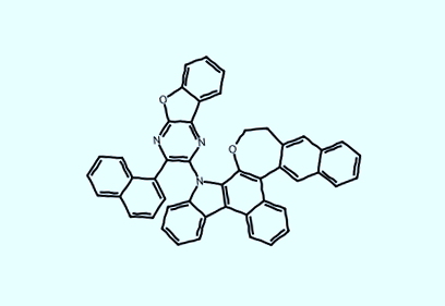 c1ccc2cc3c(cc2c1)CCOc1c-3c2ccccc2c2c3ccccc3n(-c3nc4c(nc3-c3cccc5ccccc35)oc3ccccc34)c12